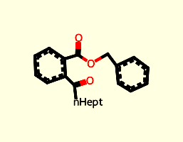 CCCCCCCC(=O)c1ccccc1C(=O)OCc1ccccc1